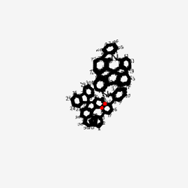 c1ccc(-c2ccc(-c3ccccc3N(c3ccc4c(c3)C3(c5ccccc5-c5ccccc53)c3ccc5ccccc5c3-4)c3cccc4c3-c3ccccc3C43c4ccccc4-n4c5ccccc5c5cccc3c54)cc2)cc1